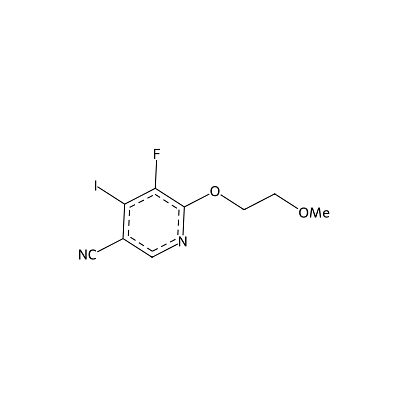 COCCOc1ncc(C#N)c(I)c1F